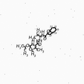 CC(C)OC(=O)N[C@H](C(=O)NC[C@@H](NC(=O)c1cc2ccccc2o1)C(C)C)C(C)C